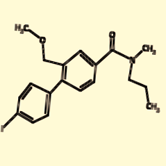 CCCN(C)C(=O)c1ccc(-c2ccc(I)cc2)c(COC)c1